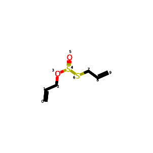 C=CCOS(=O)SCC=C